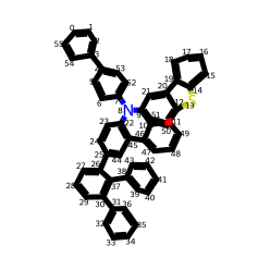 c1ccc(-c2ccc(N(c3ccc4sc5ccccc5c4c3)c3ccc(-c4cccc(-c5ccccc5)c4-c4ccccc4)cc3-c3ccccc3)cc2)cc1